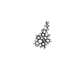 CC(=O)N1CC(OC(=O)Oc2c3n(ccc2=O)N([C@@H]2c4ccccc4N4CCOCC4c4c2ccc(F)c4F)[C@@H]2COCCN2C3=O)C1